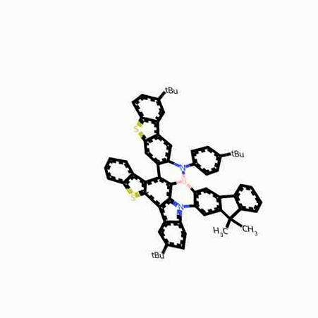 CC(C)(C)c1ccc(N2B3c4cc5c(cc4-n4c6ccc(C(C)(C)C)cc6c6c7sc8ccccc8c7c(c3c64)-c3cc4sc6ccc(C(C)(C)C)cc6c4cc32)C(C)(C)c2ccccc2-5)cc1